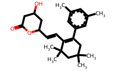 Cc1cc(C)cc(C2=C(C=CC3CC(O)CC(=O)O3)C(C)(C)CC(C)(C)C2)c1